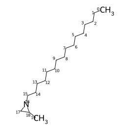 CCCCCCCCCCCCCCCCN1CC1C